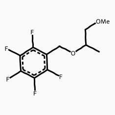 COCC(C)OCc1c(F)c(F)c(F)c(F)c1F